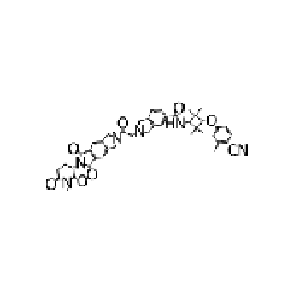 Cc1cc(O[C@H]2C(C)(C)[C@H](NC(=O)c3ccc4c(c3)CN(CC(=O)N3Cc5cc6c(cc5C3)C(=O)N(C3CCC(=O)N(C)C3=O)C6=O)C4)C2(C)C)ccc1C#N